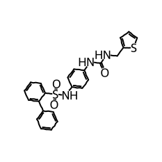 O=C(NCc1cccs1)Nc1ccc(NS(=O)(=O)c2ccccc2-c2ccccc2)cc1